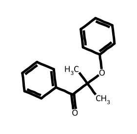 CC(C)(Oc1ccccc1)C(=O)c1ccccc1